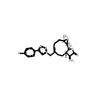 C=C1C(=O)O[C@H]2[C@H]1CC/C(Cn1cc(-c3ccc(F)cc3)nn1)=C\CC[C@@]1(C)O[C@@H]21